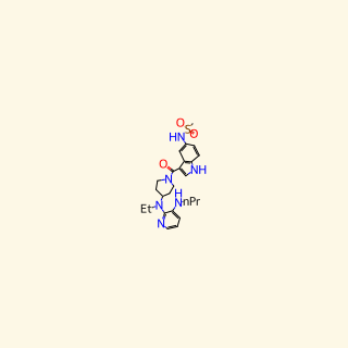 CCCNc1cccnc1N(CC)C1CCN(C(=O)c2c[nH]c3ccc(NS(C)(=O)=O)cc23)CC1